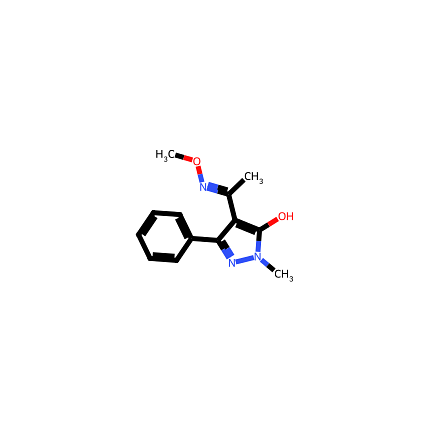 CON=C(C)c1c(-c2ccccc2)nn(C)c1O